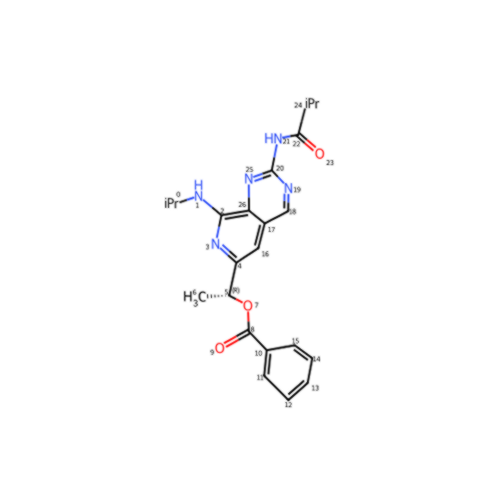 CC(C)Nc1nc([C@@H](C)OC(=O)c2ccccc2)cc2cnc(NC(=O)C(C)C)nc12